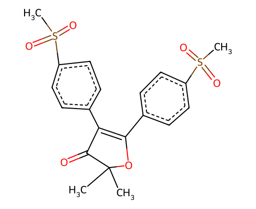 CC1(C)OC(c2ccc(S(C)(=O)=O)cc2)=C(c2ccc(S(C)(=O)=O)cc2)C1=O